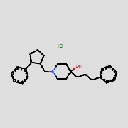 Cl.OC1(CCCc2ccccc2)CCN(CC2CCCC2c2ccccc2)CC1